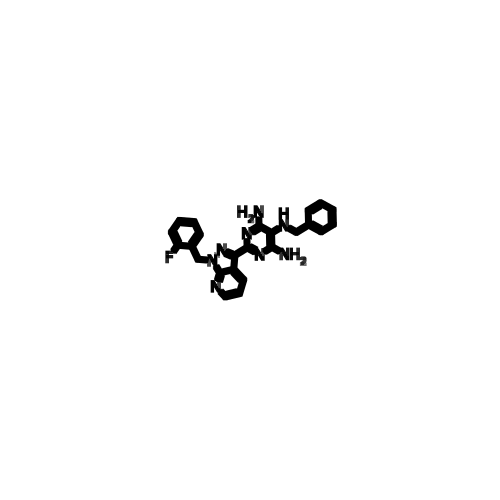 Nc1nc(-c2nn(Cc3ccccc3F)c3ncccc23)nc(N)c1NCc1ccccc1